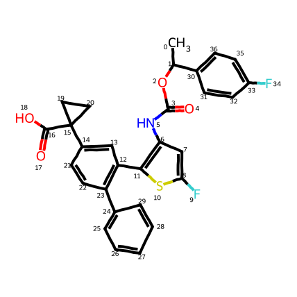 CC(OC(=O)Nc1cc(F)sc1-c1cc(C2(C(=O)O)CC2)ccc1-c1ccccc1)c1ccc(F)cc1